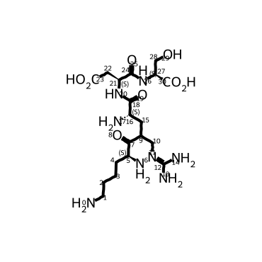 NCCCC[C@H](N)C(=O)C(CN=C(N)N)C[C@H](N)C(=O)N[C@@H](CC(=O)O)C(=O)N[C@@H](CO)C(=O)O